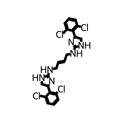 Clc1cccc(Cl)c1C1CNC(NC/C=C/CNC2=NC(c3c(Cl)cccc3Cl)CN2)=N1